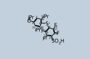 CC(C)Oc1cc(C(C)C)c(Sc2c(F)c(F)c(S(=O)(=O)O)c(F)c2F)c(C(C)C)c1